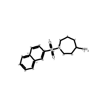 NC1CCCN(S(=O)(=O)c2ccc3ccccc3c2)CC1